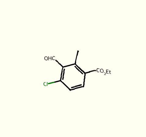 CCOC(=O)c1ccc(Cl)c(C=O)c1C